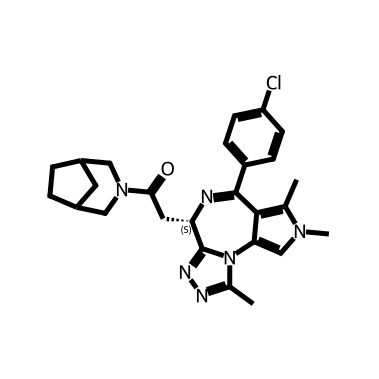 Cc1c2c(cn1C)-n1c(C)nnc1[C@H](CC(=O)N1CC3CCC(C3)C1)N=C2c1ccc(Cl)cc1